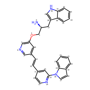 N[C@H](COc1cncc(C=Cc2ccnc(-n3ccc4ccccc43)c2)c1)Cc1c[nH]c2ccccc12